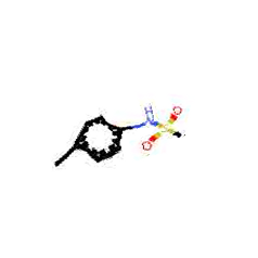 [CH2]S(=O)(=O)Nc1ccc(C)cc1